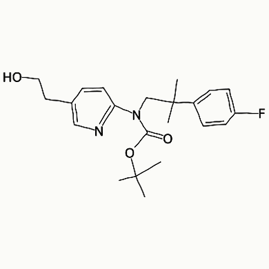 CC(C)(C)OC(=O)N(CC(C)(C)c1ccc(F)cc1)c1ccc(CCO)cn1